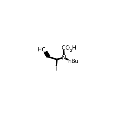 C#CC(I)N(CCCC)C(=O)O